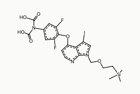 C[Si](C)(C)CCOCn1cc(I)c2c(Oc3c(F)cc(N(C(=O)O)C(=O)O)cc3F)ccnc21